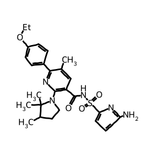 CCOc1ccc(-c2nc(N3CCC(C)C3(C)C)c(C(=O)NS(=O)(=O)c3cccc(N)n3)cc2C)cc1